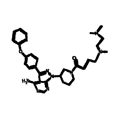 CN(C)CCN(C)C/C=C/C(=O)N1CCCC(n2nc(-c3ccc(Oc4ccccc4)cc3)c3c(N)ncnc32)C1